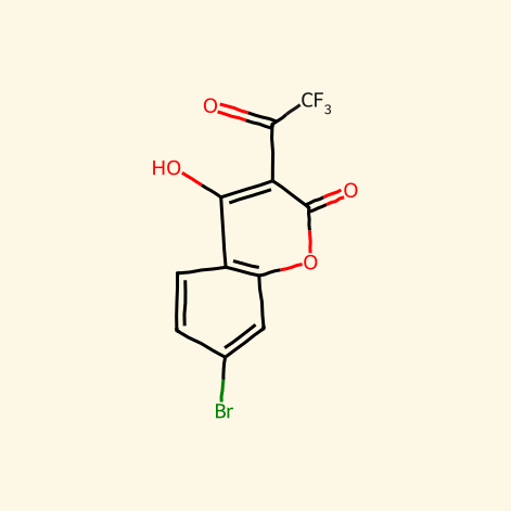 O=C(c1c(O)c2ccc(Br)cc2oc1=O)C(F)(F)F